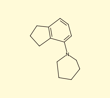 c1cc2c(c(N3CCCCC3)c1)CCC2